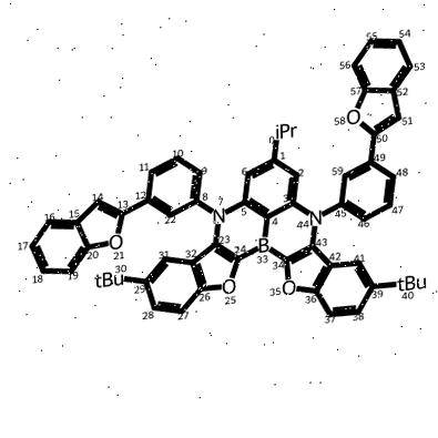 CC(C)c1cc2c3c(c1)N(c1cccc(-c4cc5ccccc5o4)c1)c1c(oc4ccc(C(C)(C)C)cc14)B3c1oc3ccc(C(C)(C)C)cc3c1N2c1cccc(-c2cc3ccccc3o2)c1